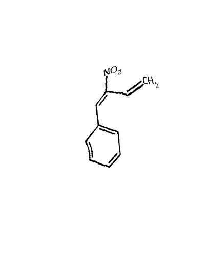 C=CC(=Cc1ccccc1)[N+](=O)[O-]